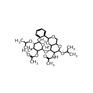 CC(=O)NC1[C@H](OC(C)C)OC2COC(c3ccccc3)O[C@@H]2[C@@H]1O[C@@H]1OC(C)[C@@H](OC(C)C)[C@H](C)C1OC(C)=O